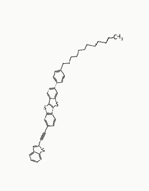 CCCCCCCCCCCCc1ccc(-c2ccc3c(c2)sc2c4ccc(C#Cc5cc6ccccc6s5)cc4sc32)cc1